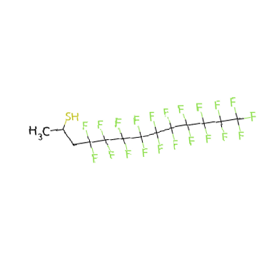 CC(S)CC(F)(F)C(F)(F)C(F)(F)C(F)(F)C(F)(F)C(F)(F)C(F)(F)C(F)(F)C(F)(F)C(F)(F)F